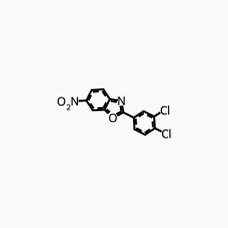 O=[N+]([O-])c1ccc2nc(-c3ccc(Cl)c(Cl)c3)oc2c1